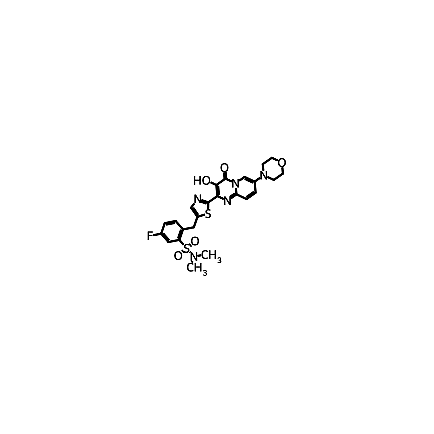 CN(C)S(=O)(=O)c1cc(F)ccc1Cc1cnc(-c2nc3ccc(N4CCOCC4)cn3c(=O)c2O)s1